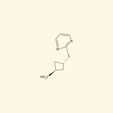 O=C(O)[C@H]1C[C@H](Sc2ncccn2)C1